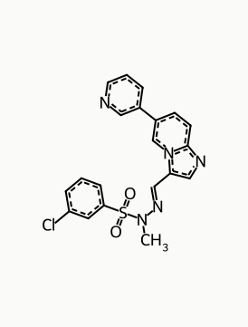 CN(/N=C/c1cnc2ccc(-c3cccnc3)cn12)S(=O)(=O)c1cccc(Cl)c1